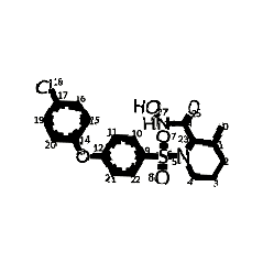 CC1CCCN(S(=O)(=O)c2ccc(Oc3ccc(Cl)cc3)cc2)C1C(=O)NO